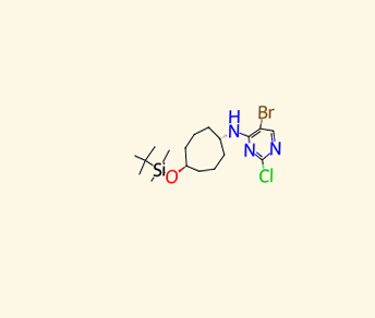 CC(C)(C)[Si](C)(C)O[C@H]1CCC[C@H](Nc2nc(Cl)ncc2Br)CCC1